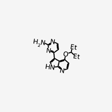 CCC(CC)Oc1ccnc2[nH]cc(-c3ccnc(N)n3)c12